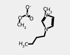 CCCCn1cc[n+](C)c1.COS(=O)[O-]